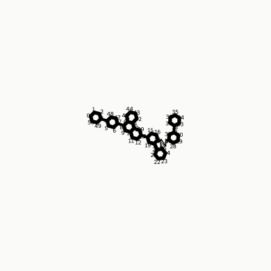 c1ccc(-c2ccc(-c3cc4ccc(-c5ccc6c(c5)c5ccccc5n6-c5cccc(-c6ccccc6)c5)cc4c4ccccc34)cc2)cc1